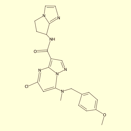 COc1ccc(CN(C)c2cc(Cl)nc3c(C(=O)NC4CCn5ccnc54)cnn23)cc1